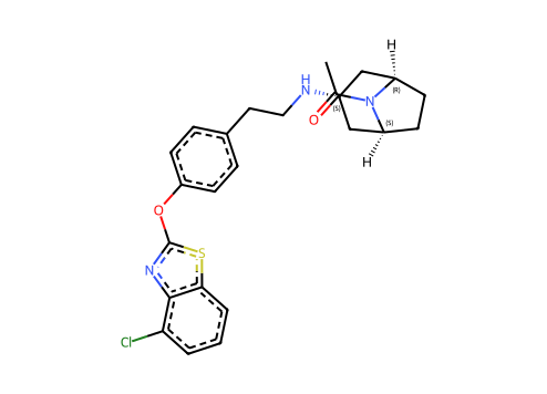 CC(=O)N1[C@@H]2CC[C@H]1C[C@H](NCCc1ccc(Oc3nc4c(Cl)cccc4s3)cc1)C2